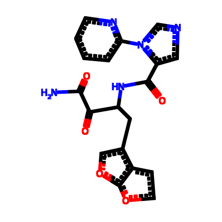 NC(=O)C(=O)C(Cc1coc2occc12)NC(=O)c1cncn1-c1ccccn1